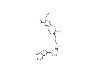 COc1cc2c(cc1OC)CC(=O)N(CCCN(C)CC(O)c1ccc(Cl)c(N)c1)CC2